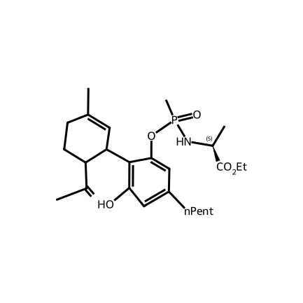 C=C(C)C1CCC(C)=CC1c1c(O)cc(CCCCC)cc1OP(C)(=O)N[C@@H](C)C(=O)OCC